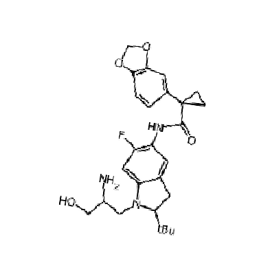 CC(C)(C)C1Cc2cc(NC(=O)C3(c4ccc5c(c4)OCO5)CC3)c(F)cc2N1CC(N)CO